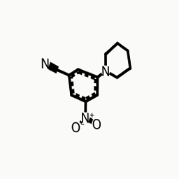 N#Cc1cc(N2CCCCC2)cc([N+](=O)[O-])c1